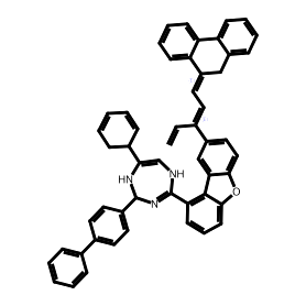 C=C/C(=C\C=C1/Cc2ccccc2-c2ccccc21)c1ccc2oc3cccc(C4=NC(c5ccc(-c6ccccc6)cc5)NC(C5C=CC=CC5)=CN4)c3c2c1